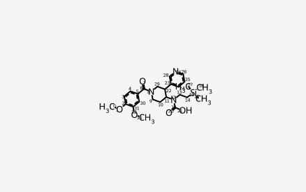 COc1ccc(C(=O)N2CCC(N(CC[Si](C)(C)C)C(=O)O)C(c3cccnc3)C2)cc1OC